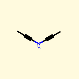 CC#CNC#CC